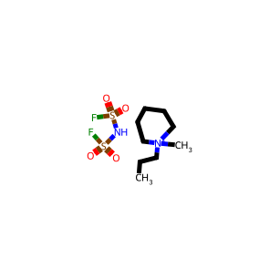 CCC[N+]1(C)CCCCC1.O=S(=O)(F)NS(=O)(=O)F